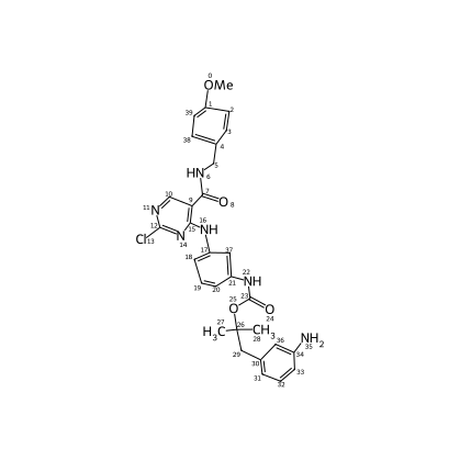 COc1ccc(CNC(=O)c2cnc(Cl)nc2Nc2cccc(NC(=O)OC(C)(C)Cc3cccc(N)c3)c2)cc1